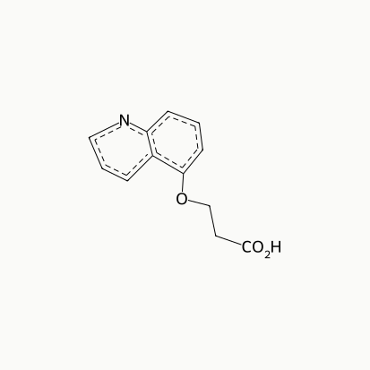 O=C(O)CCOc1cccc2ncccc12